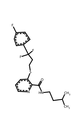 CC(C)CCNC(=O)c1ncccc1SCCC(F)(F)c1ccc(F)cc1